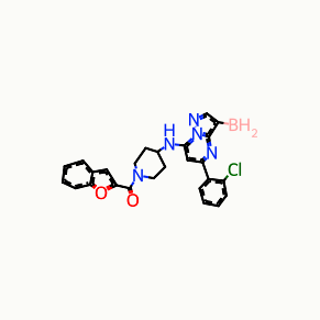 Bc1cnn2c(NC3CCN(C(=O)c4cc5ccccc5o4)CC3)cc(-c3ccccc3Cl)nc12